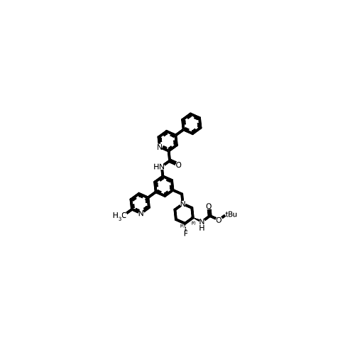 Cc1ccc(-c2cc(CN3CC[C@@H](F)[C@H](NC(=O)OC(C)(C)C)C3)cc(NC(=O)c3cc(-c4ccccc4)ccn3)c2)cn1